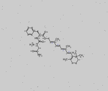 CC1=C(/C=C/C(C)=C/C=C/C(C)=C/COC(=O)[C@H](Cc2ccccc2)NC(=O)[C@@H](N)CC(N)=O)C(C)(C)CCC1